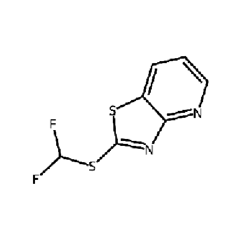 FC(F)Sc1nc2ncccc2s1